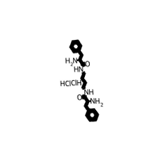 Cl.Cl.N[C@@H](Cc1ccccc1)C(=O)NCCCCNC(=O)[C@@H](N)Cc1ccccc1